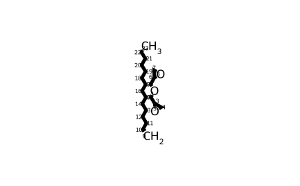 C(OCC1CO1)C1CO1.C=CCCCCCCCCCCCCC